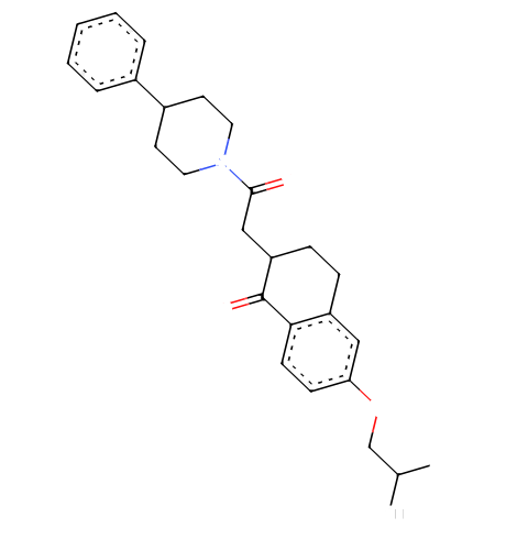 CC(C)COc1ccc2c(c1)CCC(CC(=O)N1CCC(c3ccccc3)CC1)C2=O